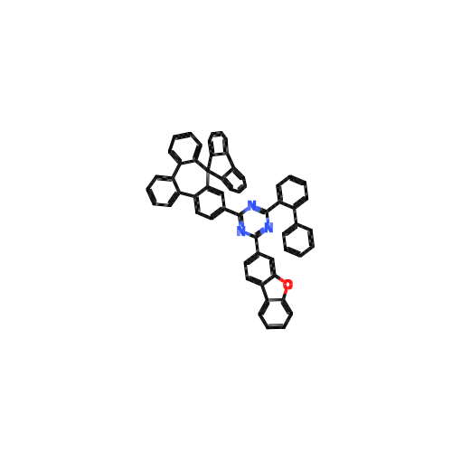 c1ccc(-c2ccccc2-c2nc(-c3ccc4c(c3)C3(c5ccccc5-c5ccccc5-4)c4ccccc4-c4ccccc43)nc(-c3ccc4c(c3)oc3ccccc34)n2)cc1